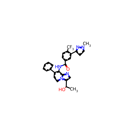 CC(O)c1cnc2c(NC(=O)c3ccc(C(F)(F)F)c(-c4ccn(C)n4)c3)c(-c3ccccc3)ccn12